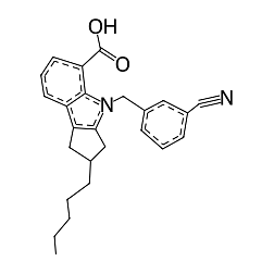 CCCCCC1Cc2c(n(Cc3cccc(C#N)c3)c3c(C(=O)O)cccc23)C1